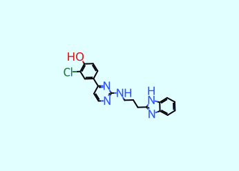 Oc1ccc(-c2ccnc(NCCCc3nc4ccccc4[nH]3)n2)cc1Cl